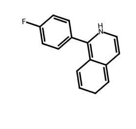 Fc1ccc(C2=C3C=CCC=C3C=CN2)cc1